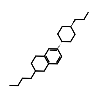 CCCCC1CCc2cc([C@H]3CC[C@H](CCC)CC3)ccc2C1